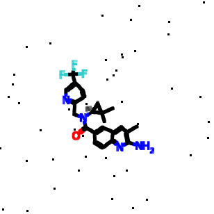 Cc1cc2cc(C(=O)N(Cc3ccc(C(F)(F)F)cn3)[C@H]3CC3(C)C)ccc2nc1N